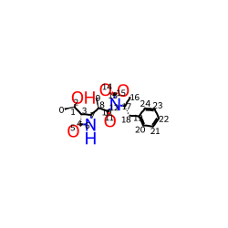 C[C@@H](O)[C@H]1C(=O)N[C@@H]1[C@@H](C)C(=O)N1C(=O)OC[C@@H]1Cc1ccccc1